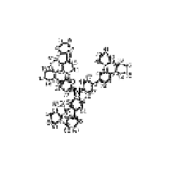 CC1(C)c2ccccc2-c2cccc(-c3ccccc3-c3ccc(N(c4ccc(-c5ccc(-c6ccccc6-c6ccccc6)cc5)cc4)c4ccc5c(c4)C4(CCc6ccccc64)c4ccccc4-5)cc3)c21